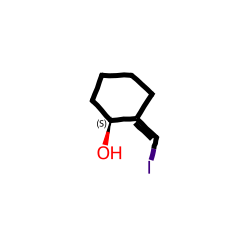 O[C@H]1CCCCC1=CI